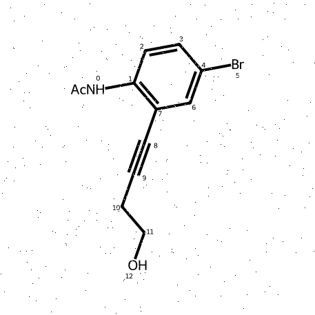 CC(=O)Nc1ccc(Br)cc1C#CCCO